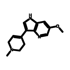 COc1cnc2c(C3=CCN(C)CC3)c[nH]c2c1